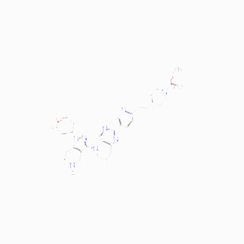 CC(=O)N1CCc2c(c(N3CCCc4nc(-c5ccc(CCC6CCN(C(=O)OC(C)(C)C)CC6)nc5)ncc43)nn2C2CCOCC2)C1